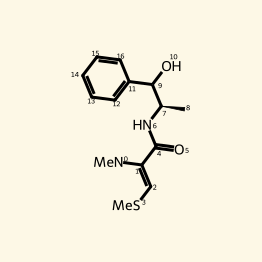 CN/C(=C\SC)C(=O)N[C@H](C)C(O)c1ccccc1